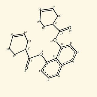 O=C(Oc1cccc2cccc(OC(=O)C3CC=CCC3)c12)C1CC=CCC1